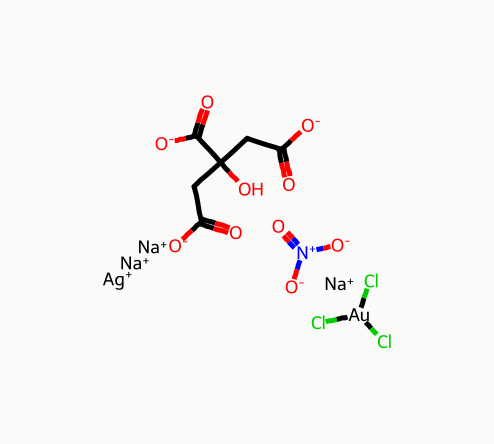 O=C([O-])CC(O)(CC(=O)[O-])C(=O)[O-].O=[N+]([O-])[O-].[Ag+].[Cl][Au]([Cl])[Cl].[Na+].[Na+].[Na+]